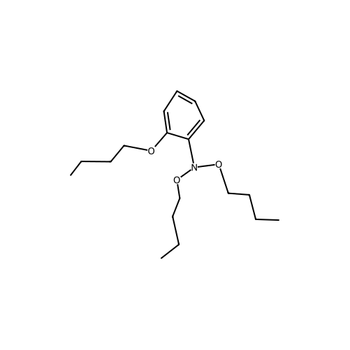 CCCCOc1ccccc1N(OCCCC)OCCCC